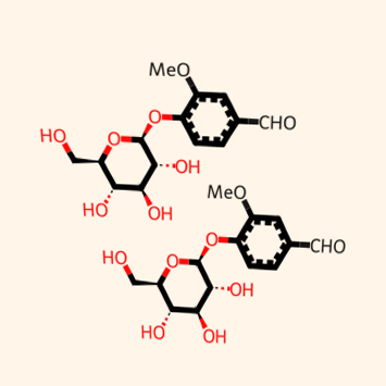 COc1cc(C=O)ccc1O[C@@H]1O[C@H](CO)[C@@H](O)[C@H](O)[C@H]1O.COc1cc(C=O)ccc1O[C@@H]1O[C@H](CO)[C@@H](O)[C@H](O)[C@H]1O